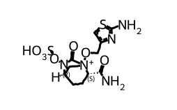 NC(=O)[C@@H]1CC[C@@H]2C[N+]1(OCc1csc(N)n1)C(=O)N2OS(=O)(=O)O